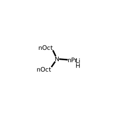 [CH2]CCN(CCCCCCCC)CCCCCCCC.[LiH]